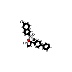 O=C1NCC[C@]1(NS(=O)(=O)c1ccc2cc(Cl)ccc2c1)c1ccc(-c2ccccc2)cn1